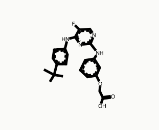 CC(C)(C)c1ccc(Nc2nc(Nc3cccc(OCC(=O)O)c3)ncc2F)cc1